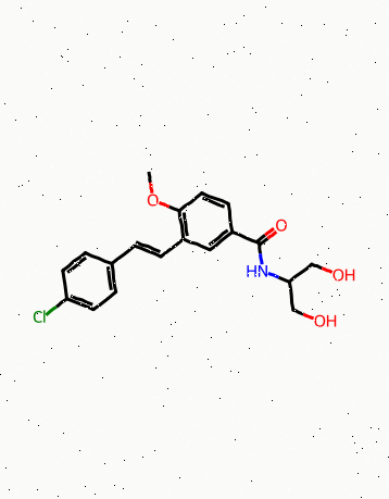 COc1ccc(C(=O)NC(CO)CO)cc1C=Cc1ccc(Cl)cc1